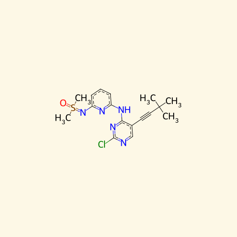 CC(C)(C)C#Cc1cnc(Cl)nc1Nc1cccc(N=S(C)(C)=O)n1